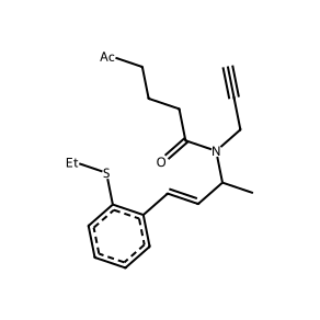 C#CCN(C(=O)CCCC(C)=O)C(C)/C=C/c1ccccc1SCC